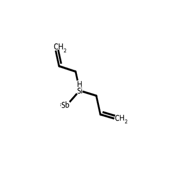 C=CC[SiH]([Sb])CC=C